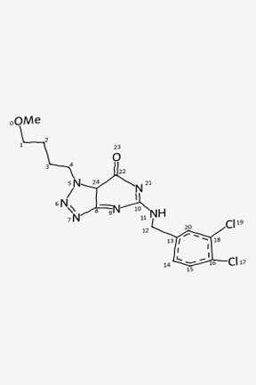 COCCCCN1N=NC2=NC(NCc3ccc(Cl)c(Cl)c3)=NC(=O)C21